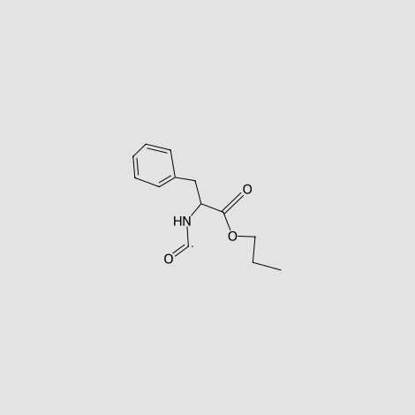 CCCOC(=O)C(Cc1ccccc1)N[C]=O